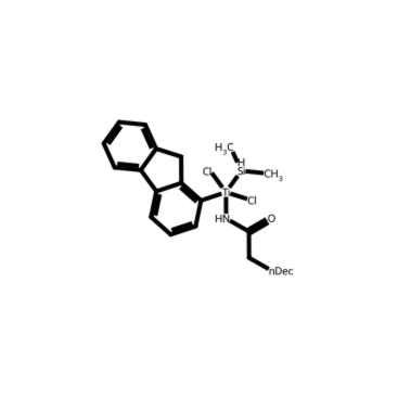 CCCCCCCCCCCC(=O)[NH][Ti]([Cl])([Cl])([c]1cccc2c1Cc1ccccc1-2)[SiH](C)C